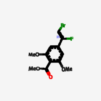 COC(=O)c1c(OC)cc(/C(F)=C/Br)cc1OC